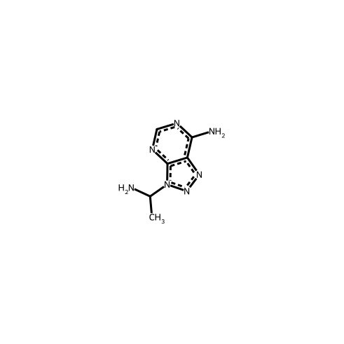 CC(N)n1nnc2c(N)ncnc21